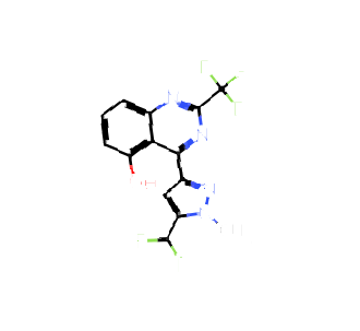 Cn1nc(-c2nc(C(F)(F)F)nc3cccc(O)c23)cc1C(F)F